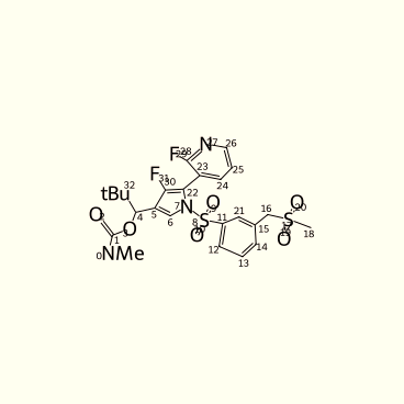 CNC(=O)OC(c1cn(S(=O)(=O)c2cccc(CS(C)(=O)=O)c2)c(-c2cccnc2F)c1F)C(C)(C)C